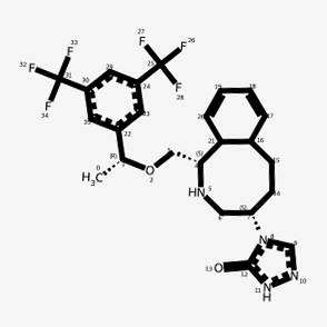 C[C@@H](OC[C@H]1NC[C@@H](n2cn[nH]c2=O)CCC2C=CC=CC21)c1cc(C(F)(F)F)cc(C(F)(F)F)c1